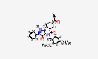 C#CC(=O)C1CCC[C@@H](C(=O)N(Cc2ccc(OC)cc2OC)c2c(C)n(C)n(-c3ccccc3)c2=O)C1